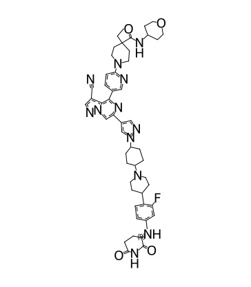 CCC1(C(=O)NC2CCOCC2)CCN(c2ccc(-c3nc(-c4cnn(C5CCC(N6CCC(c7ccc(N[C@@H]8CCC(=O)NC8=O)cc7F)CC6)CC5)c4)cn4ncc(C#N)c34)cn2)CC1